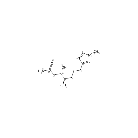 C[C@H](CCCc1cn(C)cn1)[C@@H](O)CC(N)=O